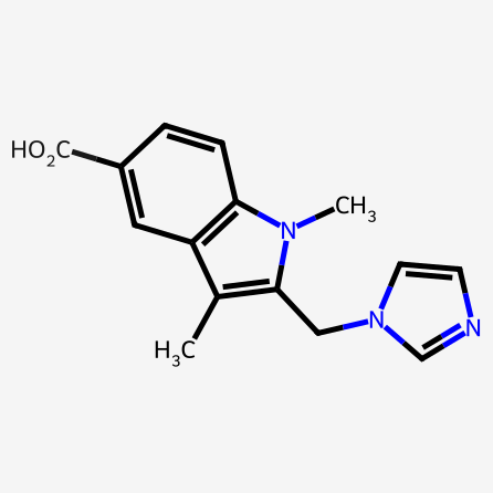 Cc1c(Cn2ccnc2)n(C)c2ccc(C(=O)O)cc12